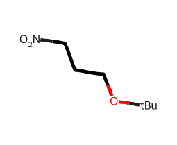 CC(C)(C)OCCC[N+](=O)[O-]